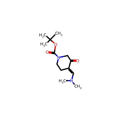 CN(C)/C=C1\CCN(C(=O)OC(C)(C)C)CC1=O